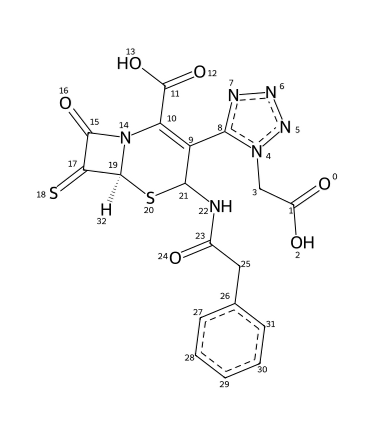 O=C(O)Cn1nnnc1C1=C(C(=O)O)N2C(=O)C(=S)[C@@H]2SC1NC(=O)Cc1ccccc1